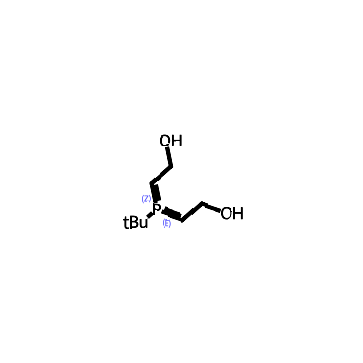 CC(C)(C)/P(=C\CO)=C/CO